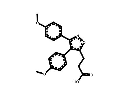 COc1ccc(-c2noc(CCC(=O)O)c2-c2ccc(OC)cc2)cc1